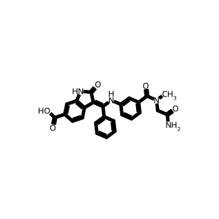 CN(CC(N)=O)C(=O)c1cccc(N/C(=C2\C(=O)Nc3cc(C(=O)O)ccc32)c2ccccc2)c1